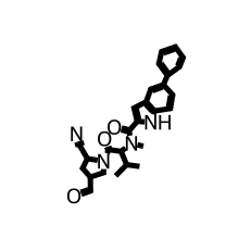 CC(C)C(C(=O)N1CC(C=O)CC1C#N)N(C)C(=O)c1cc2cc(-c3ccccc3)ccc2[nH]1